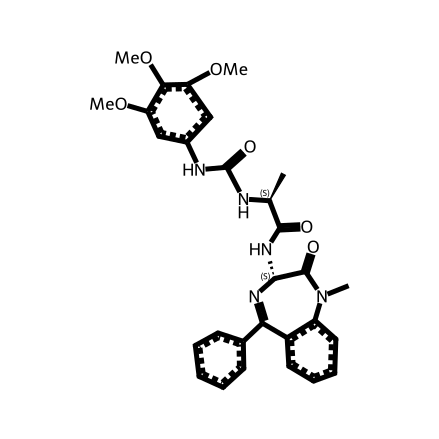 COc1cc(NC(=O)N[C@@H](C)C(=O)N[C@H]2N=C(c3ccccc3)c3ccccc3N(C)C2=O)cc(OC)c1OC